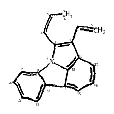 C=Cc1c(/C=C\C)n2c3ccccc3c3cccc1c32